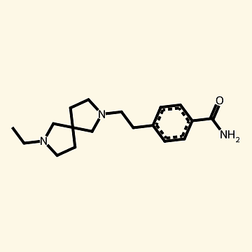 CCN1CCC2(CCN(CCc3ccc(C(N)=O)cc3)C2)C1